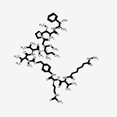 CC[C@H](C)[C@@H]([C@@H](CC(=O)N1CCC[C@H]1[C@H](OC)C(C)C(=O)N[C@H](C)[C@@H](O)c1ccccc1)OC)N(C)C(=O)[C@@H](NC(=O)C(C(C)C)N(C)C(=O)OCc1ccc(NC(=O)[C@H](CCCNC(N)=O)NC(=O)C(NC(=O)CCCCCC(=O)NN)C(C)C)cc1)C(C)C